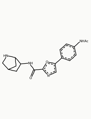 CC(=O)Nc1ccc(-c2cnc(C(=O)NC3CC4CNC3C4)o2)cc1